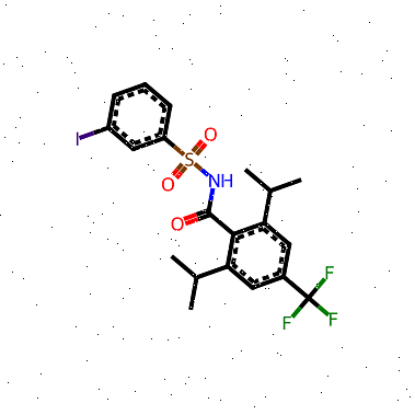 CC(C)c1cc(C(F)(F)F)cc(C(C)C)c1C(=O)NS(=O)(=O)c1cccc(I)c1